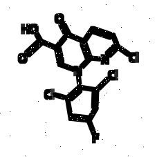 O=C(O)c1cn(-c2c(Cl)cc(F)cc2Cl)c2nc(Cl)ccc2c1=O